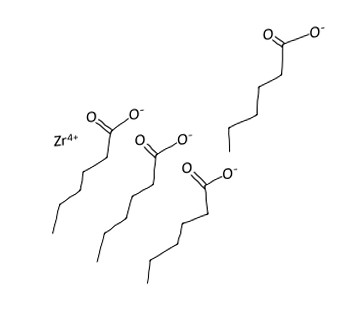 CCCCCC(=O)[O-].CCCCCC(=O)[O-].CCCCCC(=O)[O-].CCCCCC(=O)[O-].[Zr+4]